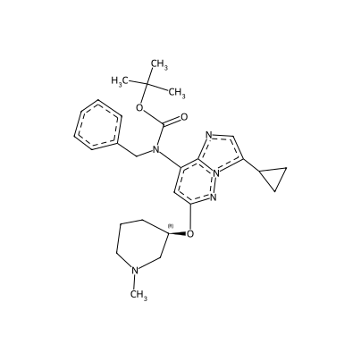 CN1CCC[C@@H](Oc2cc(N(Cc3ccccc3)C(=O)OC(C)(C)C)c3ncc(C4CC4)n3n2)C1